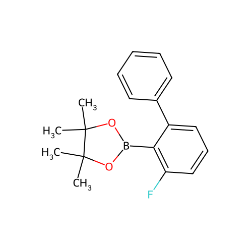 CC1(C)OB(c2c(F)cccc2-c2ccccc2)OC1(C)C